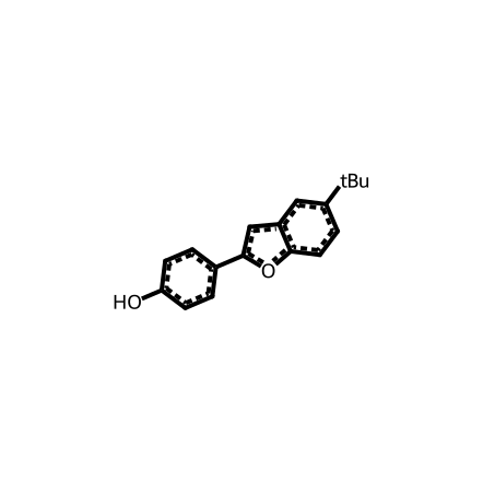 CC(C)(C)c1ccc2oc(-c3ccc(O)cc3)cc2c1